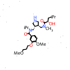 COCCCOc1cc(C(=O)N(C[C@@H]2CNC[C@H]2CN(C)C(=O)[C@@H](O)CC(C)C)C(C)C)ccc1OC